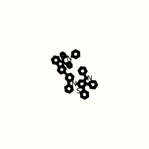 c1ccc(-c2nc3ccccc3c3c2cc(-n2c4ccccc4c4cc(-c5ccc6c(c5)C5(c7ccccc7-6)c6ccccc6N(c6ccccc6)c6ccccc65)ccc42)c2sc4ccccc4c23)cc1